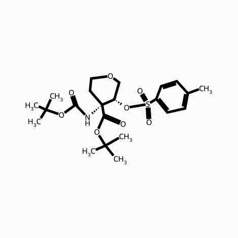 Cc1ccc(S(=O)(=O)O[C@H]2COCC[C@]2(NC(=O)OC(C)(C)C)C(=O)OC(C)(C)C)cc1